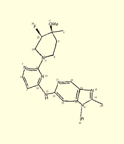 CO[C@@]1(C)CCN(c2nccc(Nc3cc4c(cn3)nc(C)n4C(C)C)n2)C[C@H]1F